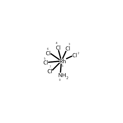 [NH2][Rh]([Cl])([Cl])([Cl])([Cl])([Cl])[Cl]